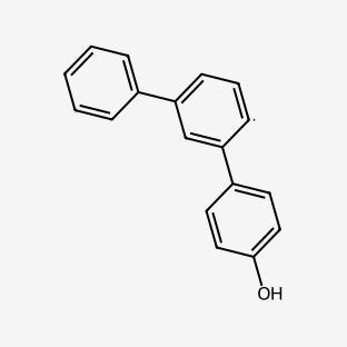 Oc1ccc(-c2[c]ccc(-c3ccccc3)c2)cc1